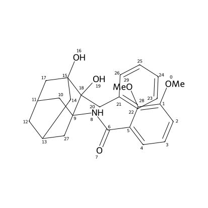 COc1cccc(C(=O)NC23CC4CC(CC(O)(C4)C2(O)Cc2ccccc2)C3)c1OC